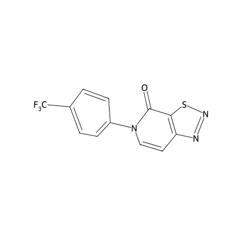 O=c1c2snnc2ccn1-c1ccc(C(F)(F)F)cc1